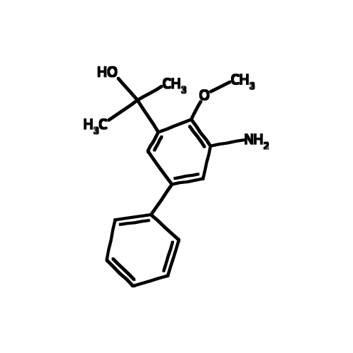 COc1c(N)cc(-c2ccccc2)cc1C(C)(C)O